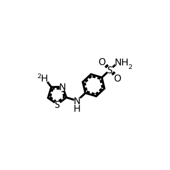 [2H]c1csc(Nc2ccc(S(N)(=O)=O)cc2)n1